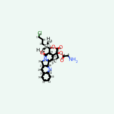 CCC1(OC(=O)CN)C(=O)OC([Si](C)(C)CCCCl)c2c1cc1n(c2=O)Cc2cc3ccccc3nc2-1